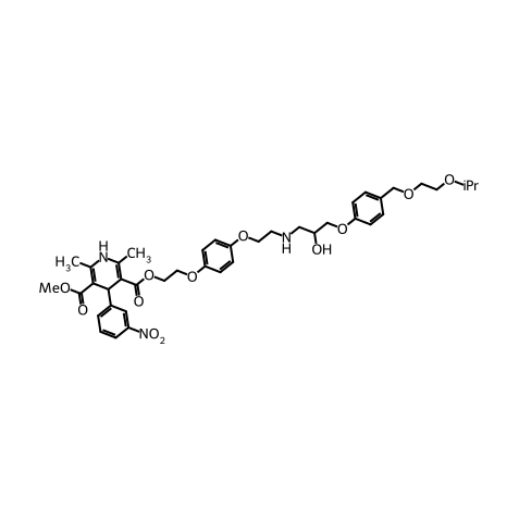 COC(=O)C1=C(C)NC(C)=C(C(=O)OCCOc2ccc(OCCNCC(O)COc3ccc(COCCOC(C)C)cc3)cc2)C1c1cccc([N+](=O)[O-])c1